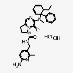 CCC1C=CC=CC1(c1ccccc1)N(C)c1ncc2n(c1=O)[C@H](C(=O)NCc1ccc(N)nc1C)CC2.Cl.Cl